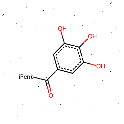 CCCC(C)C(=O)c1cc(O)c(O)c(O)c1